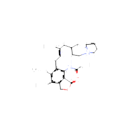 COc1c(C)c2c(c(NC(=O)C(Cl)(Cl)Cl)c1C/C=C(\C)CC(CCN1CCCC1)C(=O)O)C(=O)OC2